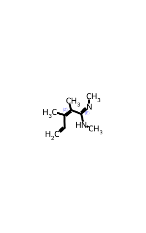 C=C/C(C)=C(C)\C(=N/C)NC